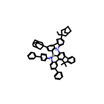 CCC1(c2ccc3c(c2)c2cc(C45CC6CC(CC(C6)C4)C5)cc4c2n3-c2cc3c(c5c2B4N(c2ccc(-c4ccccc4)cc2)c2ccc(-c4ccccc4)cc2-5)C(C)(C)c2ccccc2-3)CC2CCC(C2)C1